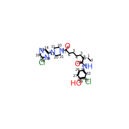 CC[C@@H](CCCCC(=O)N1CCN(c2cncc(Cl)n2)CC1)C(=O)Nc1ccc(O)c(Cl)c1